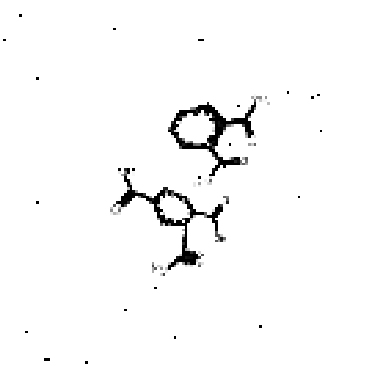 O=C(O)c1ccc(C(=O)O)c(C(=O)O)c1.O=C(O)c1ccccc1C(=O)O